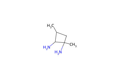 CC1CC(C)(N)C1N